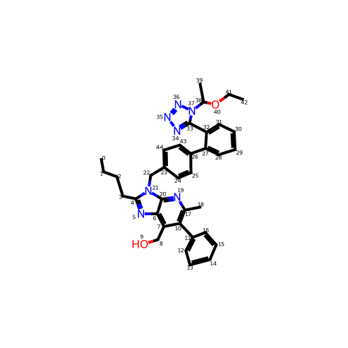 CCCCc1nc2c(CO)c(-c3ccccc3)c(C)nc2n1Cc1ccc(-c2ccccc2-c2nnnn2C(C)OCC)cc1